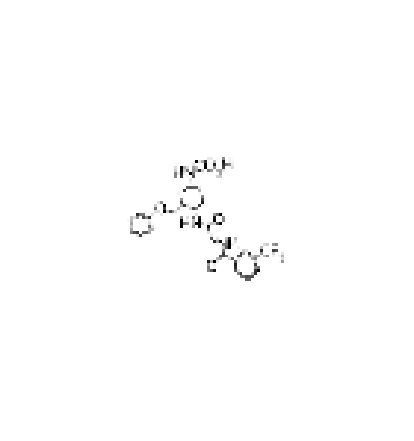 O=C(O)NC1CC[C@H](NC(=O)CNC(=O)c2cccc(C(F)(F)F)c2)[C@H](COc2ccccc2)C1